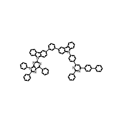 c1ccc(-c2ccc(-c3cc(-c4ccc(-n5c6ccccc6c6cc(-c7cccc(-c8ccc9c(c8)c8ccccc8n9-c8nc(-c9ccccc9)c9nc(-c%10ccccc%10)n(-c%10ccccc%10)c9n8)c7)ccc65)cc4)nc(-c4ccccc4)n3)cc2)cc1